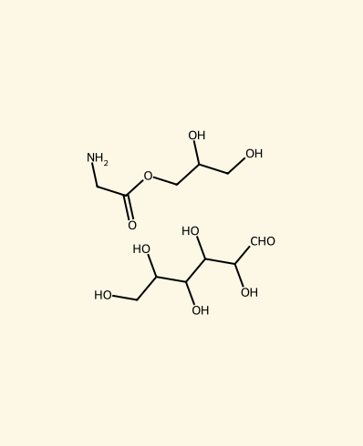 NCC(=O)OCC(O)CO.O=CC(O)C(O)C(O)C(O)CO